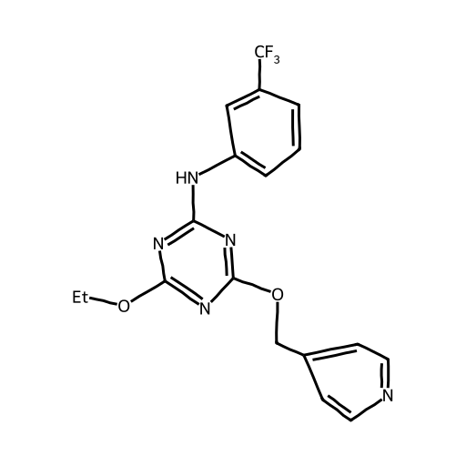 CCOc1nc(Nc2cccc(C(F)(F)F)c2)nc(OCc2ccncc2)n1